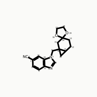 N#Cc1ccc2ncn(CC34CC3CCC3(C4)OCCO3)c2c1